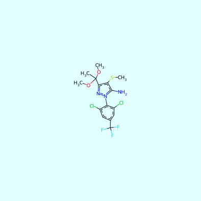 COC(C)(OC)c1nn(-c2c(Cl)cc(C(F)(F)F)cc2Cl)c(N)c1SC